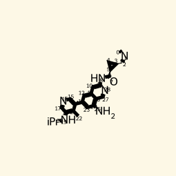 C/N=C\[C@H]1C[C@@H]1C(=O)Nc1cc2cc(-c3cncc(NC(C)C)c3C)cc(N)c2cn1